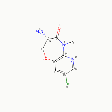 CN1C(=O)[C@@H](N)COc2cc(Br)cnc21